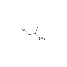 CSC(C)CC(C)=O